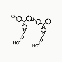 OCCOCCN1CCN(C(c2ccccc2)c2ccc(Cl)cc2)CC1.OCCOCCN1CCN(C(c2ccccc2)c2ccc(Cl)cc2)CC1